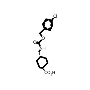 O=C(NC[C@H]1CC[C@H](C(=O)O)CC1)OCc1ccc(Cl)cc1